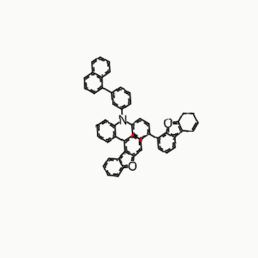 C1=Cc2c(oc3c(-c4ccc(N(c5cccc(-c6cccc7ccccc67)c5)c5ccccc5-c5cccc6oc7ccccc7c56)cc4)cccc23)CC1